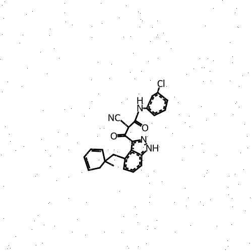 CC1(Cc2cccc3[nH]nc(C(=O)C(C#N)C(=O)Nc4cccc(Cl)c4)c23)C=CC=CC1